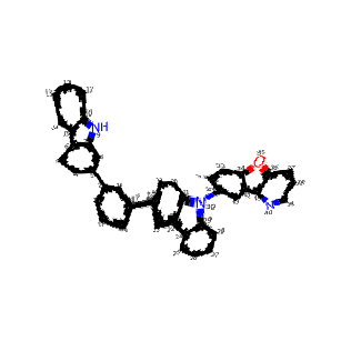 c1cc(-c2ccc3c(c2)[nH]c2ccccc23)cc(-c2ccc3c(c2)c2ccccc2n3-c2ccc3oc4cccnc4c3c2)c1